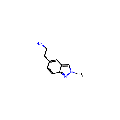 Cn1cc2cc(CCN)ccc2n1